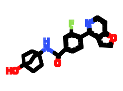 O=C(NC12CCC(O)(CC1)CC2)c1ccc(-c2nccc3occc23)c(F)c1